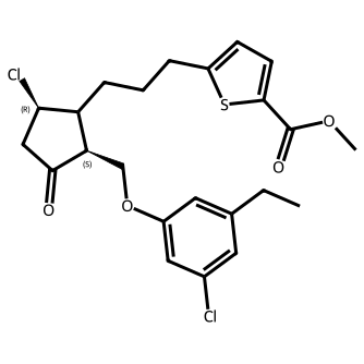 CCc1cc(Cl)cc(OC[C@H]2C(=O)C[C@@H](Cl)C2CCCc2ccc(C(=O)OC)s2)c1